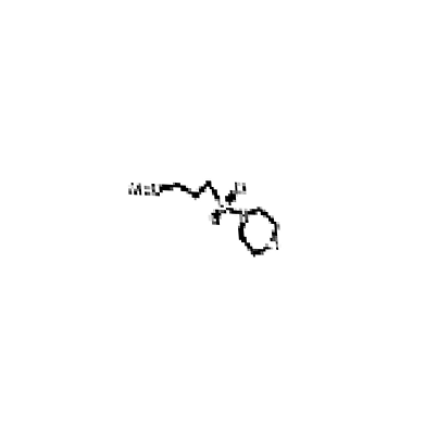 COCCCS(=O)(=O)N1CCOCC1